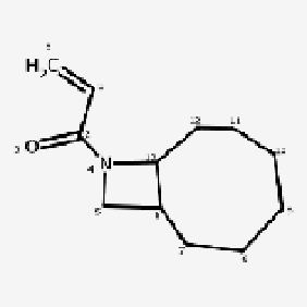 C=CC(=O)N1CC2CCCCCCC21